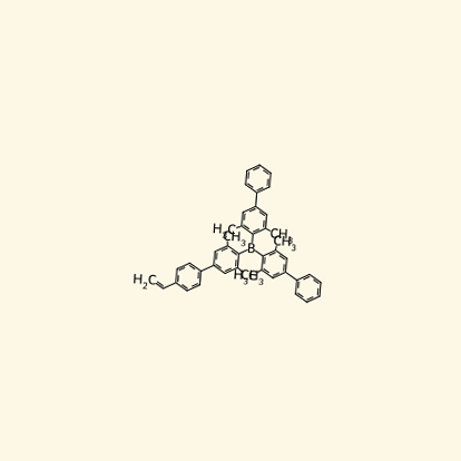 C=Cc1ccc(-c2cc(C)c(B(c3c(C)cc(-c4ccccc4)cc3C)c3c(C)cc(-c4ccccc4)cc3C)c(C)c2)cc1